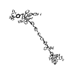 Cc1ncsc1-c1ccc(CNC(=O)[C@@H]2C[C@@H](O)CN2C(=O)[C@@H](NC(=O)CCOCCOCCOCCOCCOCCC(=O)NCCCOC(=O)NC(Nc2ncccn2)C(Cl)(Cl)Cl)C(C)(C)C)cc1